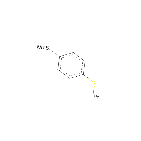 CSc1ccc(SC(C)C)cc1